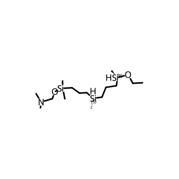 CCO[Si@H](C)CCC[Si@H](C)CCC[Si](C)(C)OCN(C)C